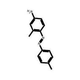 Cc1ccc(N=Nc2ccc(N)cc2C)cc1